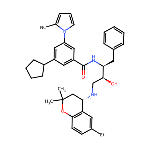 CCc1ccc2c(c1)[C@@H](NC[C@H](O)[C@H](Cc1ccccc1)NC(=O)c1cc(C3CCCC3)cc(-n3cccc3C#N)c1)CC(C)(C)O2